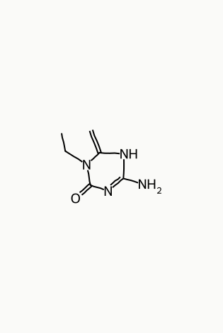 C=C1NC(N)=NC(=O)N1CC